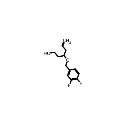 C=CCC(CCO)OCc1ccc(F)c(F)c1